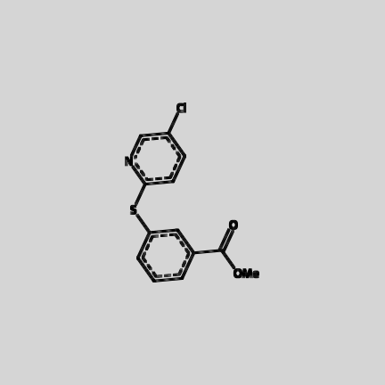 COC(=O)c1cccc(Sc2ccc(Cl)cn2)c1